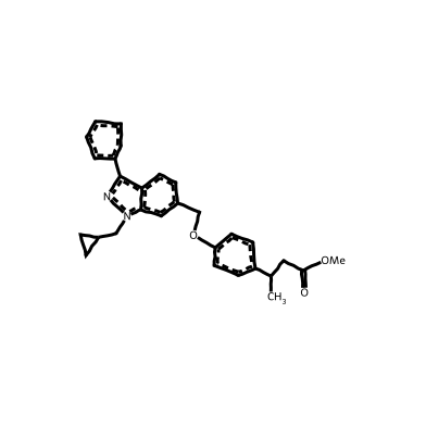 COC(=O)CC(C)c1ccc(OCc2ccc3c(-c4ccccc4)nn(CC4CC4)c3c2)cc1